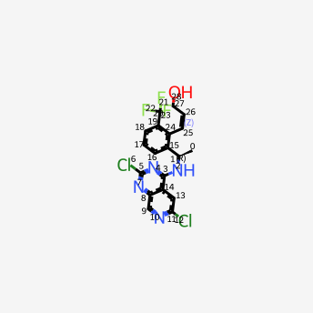 C[C@@H](Nc1nc(Cl)nc2cnc(Cl)cc12)c1cccc(C(F)(F)F)c1/C=C\CO